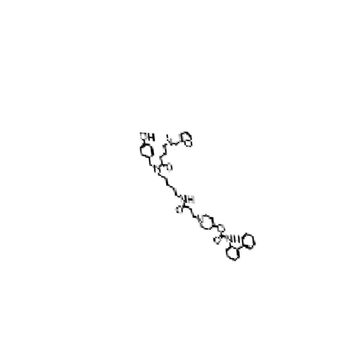 CN(CCCC(=O)N(CCCCCNC(=O)CCN1CCC(OC(=O)Nc2ccccc2-c2ccccc2)CC1)Cc1ccc(O)cc1)Cc1ccco1